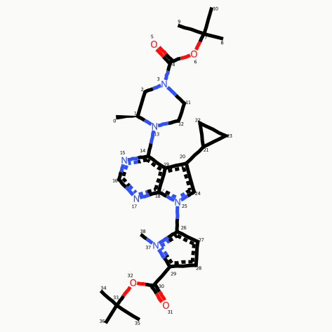 C[C@H]1CN(C(=O)OC(C)(C)C)CCN1c1ncnc2c1c(C1CC1)cn2-c1ccc(C(=O)OC(C)(C)C)n1C